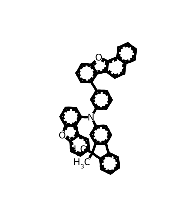 CC1(C)c2ccccc2-c2ccc(N(c3cccc(-c4cccc5oc6c7ccccc7ccc6c45)c3)c3cccc4oc5ccccc5c34)cc21